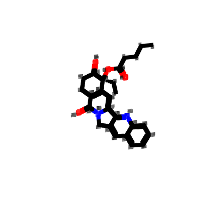 CCCCC(=O)O[C@]1(CC)C(=O)CCc2c1cc1n(c2=O)Cc2cc3ccccc3nc2-1